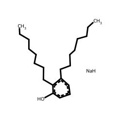 CCCCCCCCc1cccc(O)c1CCCCCCCC.[NaH]